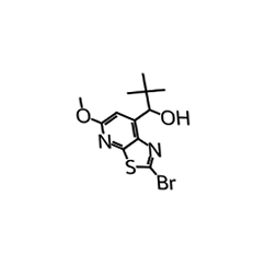 COc1cc(C(O)C(C)(C)C)c2nc(Br)sc2n1